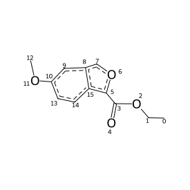 CCOC(=O)c1occ2cc(OC)ccc12